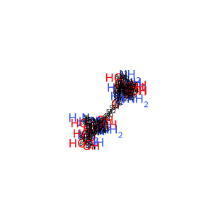 [2H]NC1C(O)C(O)[C@H](CN)O[C@@H]1O[C@@H]1C(O)[C@H](O[C@H]2C(O[C@H]3OC(CN)C(O)[C@H](O)C3N)C(N)C[C@@H](N)C2O)O[C@@H]1Cn1cc(COCCCCCCCCOCc2cn(C[C@H]3O[C@@H](O[C@H]4C(O[C@H]5OC(CN)C(O)[C@H](O)C5N)C(N)C[C@@H](N)C4O)C(O)[C@H]3O[C@H]3O[C@@H](CN)C(O)C(O)C3N)nn2)nn1